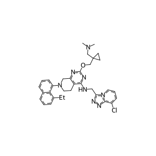 CCc1cccc2cccc(N3CCc4c(nc(OCC5(CN(C)C)CC5)nc4NCc4nnc5c(Cl)cccn45)C3)c12